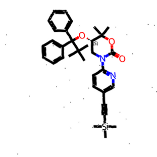 CC1(C)OC(=O)N(c2ccc(C#C[Si](C)(C)C)cn2)C[C@@H]1OC(c1ccccc1)(c1ccccc1)C(C)(C)C